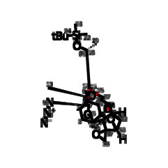 CC1CC[C@@]23COC[C@@H](N=[N+]=[N-])[C@H](C)CCO[C@@H]([C@@H](C)O[Si](C)(C)C(C)(C)C)CCCCCO[C@@H]4C[C@@H](O[C@@H]2C1)[C@@]1(CO1)[C@]43C